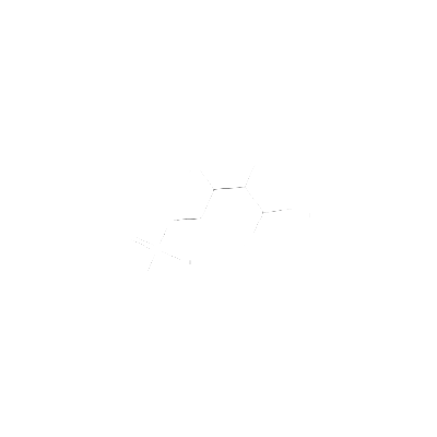 CC(C)C(C)C(C)COP(=O)(O)O